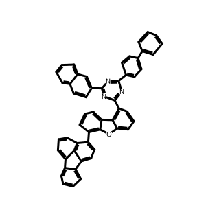 c1ccc(-c2ccc(-c3nc(-c4ccc5ccccc5c4)nc(-c4cccc5oc6c(-c7ccc8c9c(cccc79)-c7ccccc7-8)cccc6c45)n3)cc2)cc1